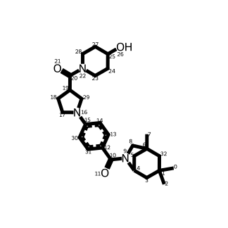 CC1(C)CC2CC(C)(CN2C(=O)c2ccc(N3CCC(C(=O)N4CCC(O)CC4)C3)cc2)C1